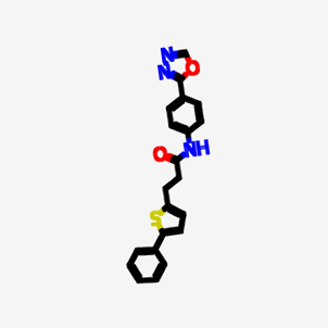 O=C(CCc1ccc(-c2ccccc2)s1)Nc1ccc(-c2nnco2)cc1